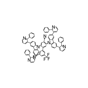 N#Cc1cc(-c2cc(-n3c4ccc(-c5cccnc5-c5ccccc5)cc4c4cc(-c5cccnc5-c5ccccc5)ccc43)c(C#N)cc2-n2c3ccc(-c4cccnc4-c4ccccc4)cc3c3cc(-c4cccnc4-c4ccccc4)ccc32)cc(C(F)(F)F)c1